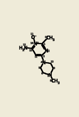 Cc1nc(N2CCN(C)CC2)cc(N)[n+]1[O-]